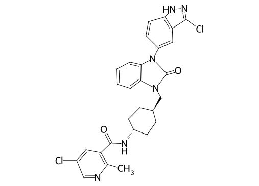 Cc1ncc(Cl)cc1C(=O)N[C@H]1CC[C@H](Cn2c(=O)n(-c3ccc4[nH]nc(Cl)c4c3)c3ccccc32)CC1